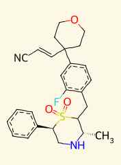 C[C@@H]1NC[C@@H](c2ccccc2)S(=O)(=O)C1Cc1ccc(C2(/C=C/C#N)CCOCC2)cc1F